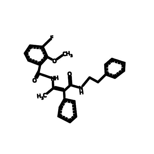 COc1c(F)cccc1C(=O)NC(C)=C(C(=O)NCCc1ccccc1)c1ccccc1